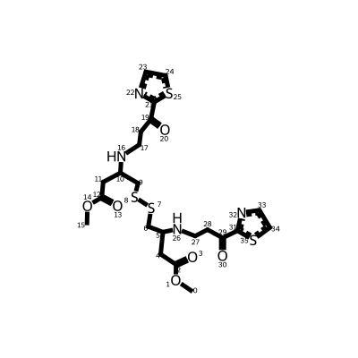 COC(=O)CC(CSSCC(CC(=O)OC)NCCC(=O)c1nccs1)NCCC(=O)c1nccs1